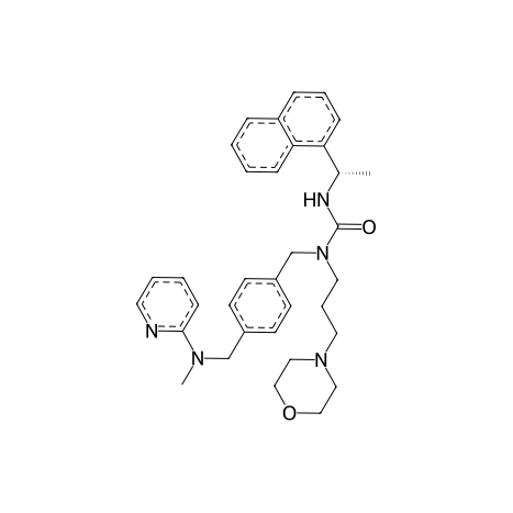 C[C@H](NC(=O)N(CCCN1CCOCC1)Cc1ccc(CN(C)c2ccccn2)cc1)c1cccc2ccccc12